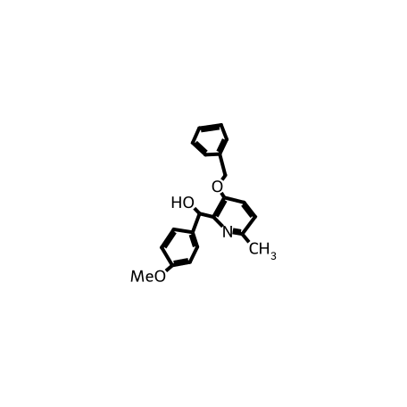 COc1ccc(C(O)c2nc(C)ccc2OCc2ccccc2)cc1